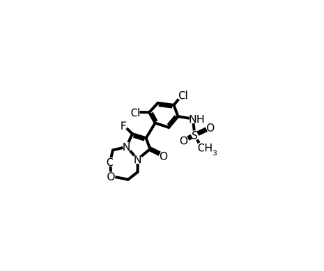 CS(=O)(=O)Nc1cc(-c2c(F)n3n(c2=O)CCOCC3)c(Cl)cc1Cl